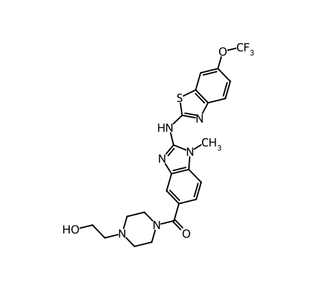 Cn1c(Nc2nc3ccc(OC(F)(F)F)cc3s2)nc2cc(C(=O)N3CCN(CCO)CC3)ccc21